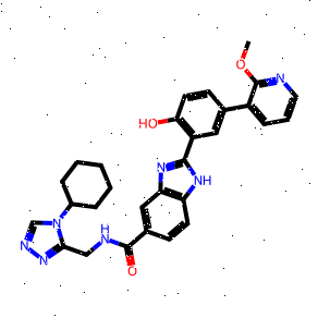 COc1ncccc1-c1ccc(O)c(-c2nc3cc(C(=O)NCc4nncn4C4CCCCC4)ccc3[nH]2)c1